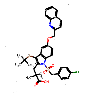 CC(C)(C)Sc1c(CC(C)(C)C(=O)O)n(S(=O)(=O)Cc2ccc(Cl)cc2)c2ccc(OCc3ccc4ccccc4n3)cc12